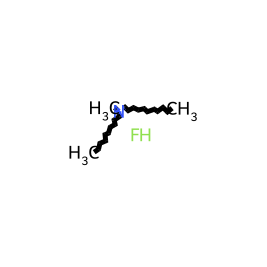 CCCCCCCCCCCN(C)CCCCCCCCCC.F